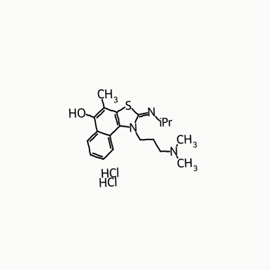 Cc1c(O)c2ccccc2c2c1s/c(=N/C(C)C)n2CCCN(C)C.Cl.Cl